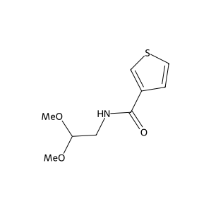 COC(CNC(=O)c1ccsc1)OC